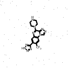 FC(F)(F)c1cc2c(cc1-c1nn[nH]n1)nc(N1CCNCC1)c1nncn12